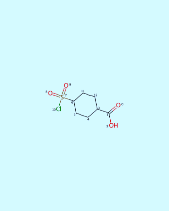 O=C(O)C1CCC(S(=O)(=O)Cl)CC1